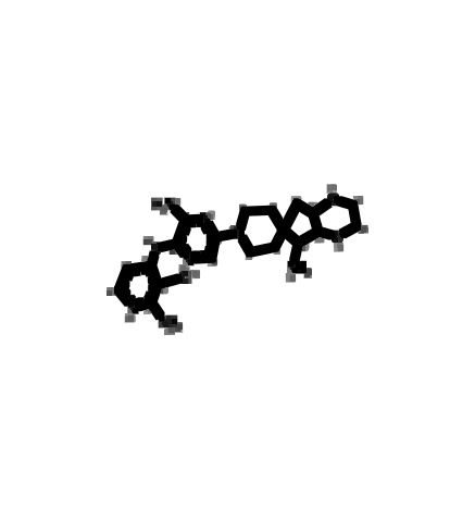 Nc1nc(N2CCC3(CC2)CC2OCCOC2C3N)cnc1Sc1ccnc(N)c1Cl